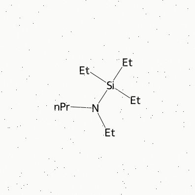 CCCN(CC)[Si](CC)(CC)CC